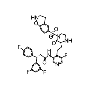 O=C(C[C@@H](c1ccc(F)cc1)c1cc(F)cc(F)c1)Nc1cncc(F)c1CC[C@@H]1NCCN(S(=O)(=O)c2ccc3c(c2)CCNO3)C1=O